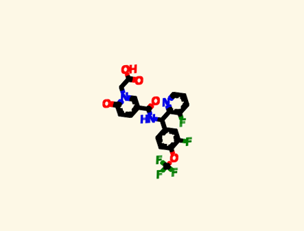 O=C(O)Cn1cc(C(=O)NC(c2ccc(OC(F)(F)F)c(F)c2)c2ncccc2F)ccc1=O